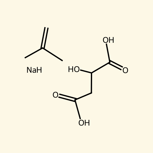 C=C(C)C.O=C(O)CC(O)C(=O)O.[NaH]